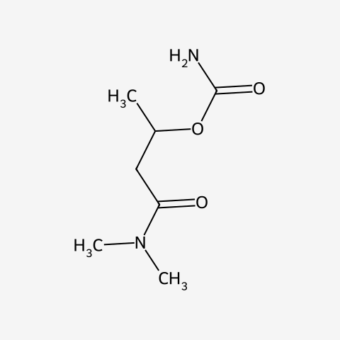 CC(CC(=O)N(C)C)OC(N)=O